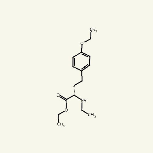 CCN[C@@H](CCc1ccc(OCC)cc1)C(=O)OCC